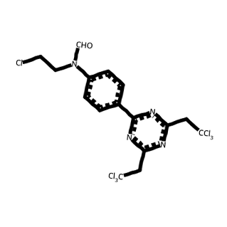 O=CN(CCCl)c1ccc(-c2nc(CC(Cl)(Cl)Cl)nc(CC(Cl)(Cl)Cl)n2)cc1